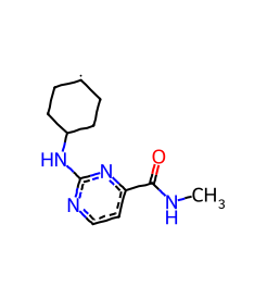 CNC(=O)c1ccnc(NC2CC[CH]CC2)n1